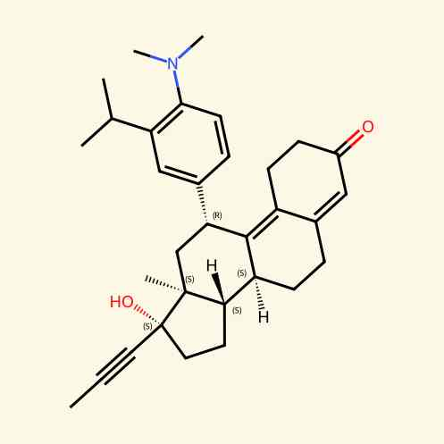 CC#C[C@]1(O)CC[C@H]2[C@@H]3CCC4=CC(=O)CCC4=C3[C@@H](c3ccc(N(C)C)c(C(C)C)c3)C[C@@]21C